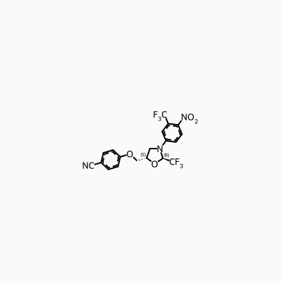 N#Cc1ccc(OC[C@@H]2CN(c3ccc([N+](=O)[O-])c(C(F)(F)F)c3)[C@@H](C(F)(F)F)O2)cc1